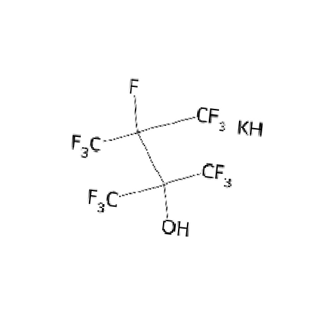 OC(C(F)(F)F)(C(F)(F)F)C(F)(C(F)(F)F)C(F)(F)F.[KH]